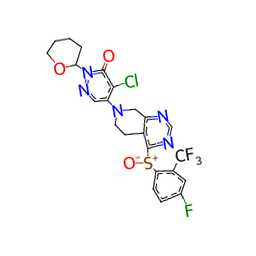 O=c1c(Cl)c(N2CCc3c(ncnc3[S+]([O-])c3ccc(F)cc3C(F)(F)F)C2)cnn1C1CCCCO1